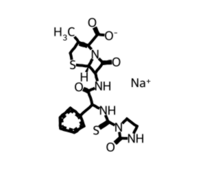 CC1=C(C(=O)[O-])N2C(=O)C(NC(=O)C(NC(=S)N3CCNC3=O)c3ccccc3)[C@@H]2SC1.[Na+]